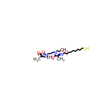 C=C(C[N+](C)(C)CCCN(CCC)C(=O)C(C)=CNC(=O)CCCCCCCCS)C(=O)[O-]